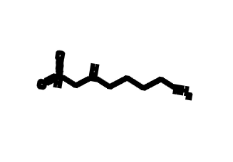 NCCCCNC[SH](=O)=O